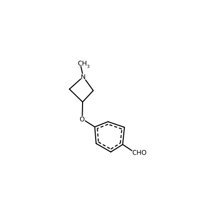 CN1CC(Oc2ccc(C=O)cc2)C1